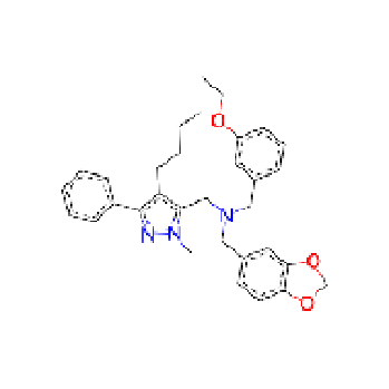 CCCCc1c(-c2ccccc2)nn(C)c1CN(Cc1cccc(OCC)c1)Cc1ccc2c(c1)OCO2